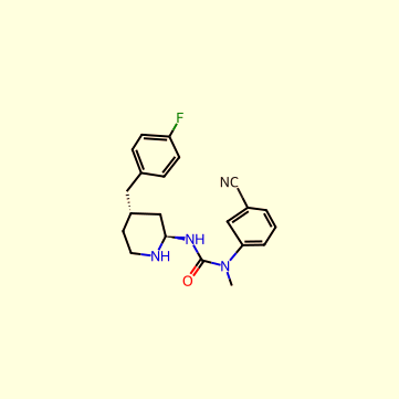 CN(C(=O)N[C@@H]1C[C@@H](Cc2ccc(F)cc2)CCN1)c1cccc(C#N)c1